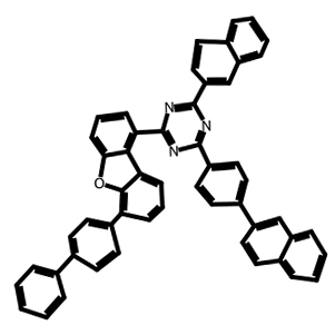 c1ccc(-c2ccc(-c3cccc4c3oc3cccc(-c5nc(-c6ccc(-c7ccc8ccccc8c7)cc6)nc(-c6ccc7ccccc7c6)n5)c34)cc2)cc1